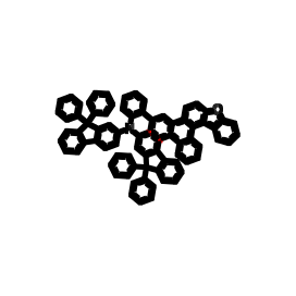 c1ccc(C2(c3ccccc3)c3ccccc3-c3ccc(N(c4ccc5c(c4)C(c4ccccc4)(c4ccccc4)c4ccccc4-5)c4ccccc4-c4ccc5c6ccccc6c6c(ccc7oc8ccccc8c76)c5c4)cc32)cc1